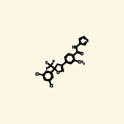 Cc1cc(C2=NOC(c3cc(Cl)cc(Cl)c3)(C(F)(F)F)C2)ccc1C(=O)Nc1ccsc1